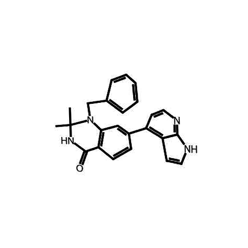 CC1(C)NC(=O)c2ccc(-c3ccnc4[nH]ccc34)cc2N1Cc1ccccc1